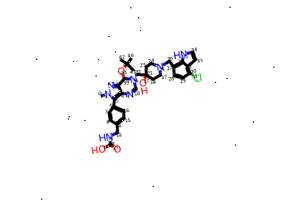 Cn1nc2c(c1-c1ccc(CNC(=O)O)cc1)N=CN(CC1(O)CCN(Cc3ccc(Cl)c4cc[nH]c34)CC1)C2OC(C)(C)C